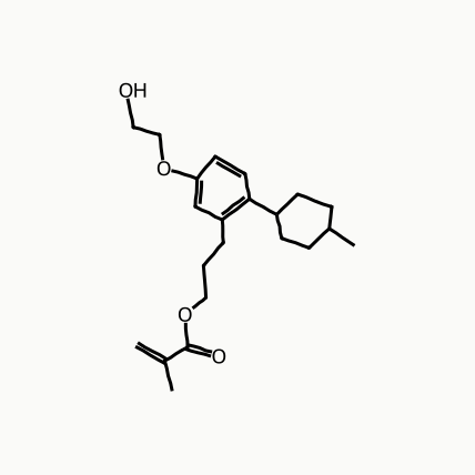 C=C(C)C(=O)OCCCc1cc(OCCO)ccc1C1CCC(C)CC1